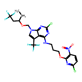 C[SiH2]C(CC(F)(F)F)OCn1cc(C(F)(F)F)c2c(NCCCOc3nc(Cl)ccc3[N+](=O)[O-])nc(Cl)nc21